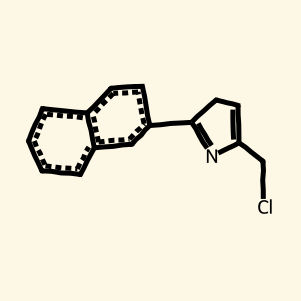 ClCC1=CCC(c2ccc3ccccc3c2)=N1